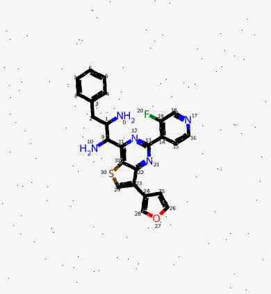 NC(Cc1ccccc1)C(N)c1nc(-c2ccncc2F)nc2c(-c3ccoc3)csc12